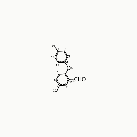 Cc1ccc(Oc2ccc(C)cc2C=O)cc1